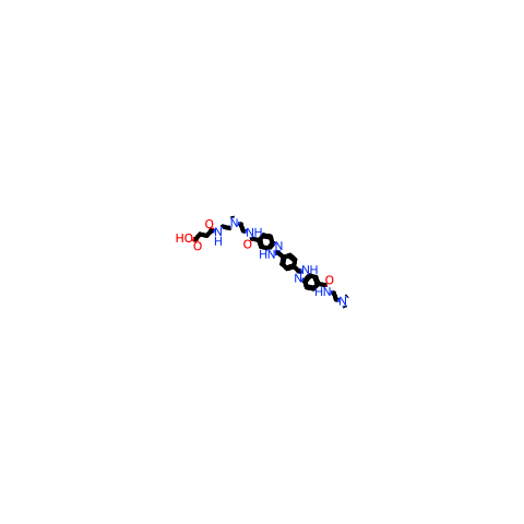 CN(C)CCNC(=O)c1ccc2nc(-c3ccc(-c4nc5ccc(C(=O)NCCN(C)CCNC(=O)CCC(=O)O)cc5[nH]4)cc3)[nH]c2c1